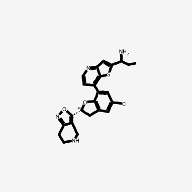 CCC(N)c1cc2nccc(-c3cc(Cl)cc4c3O[C@@H](c3onc5c3CNCC5)C4)c2s1